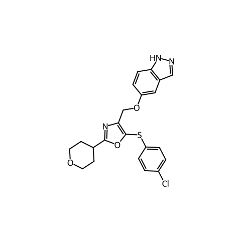 Clc1ccc(Sc2oc(C3CCOCC3)nc2COc2ccc3[nH]ncc3c2)cc1